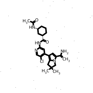 C=C(N)c1cc(-c2cc(NC(=O)[C@H]3CCC[C@@H](NC(C)=O)C3)ncc2Cl)c2n1CC(C)(C)C2